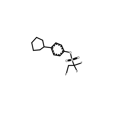 O=S(=O)(Oc1ccc(C2CCCCC2)cc1)C(F)(F)CF